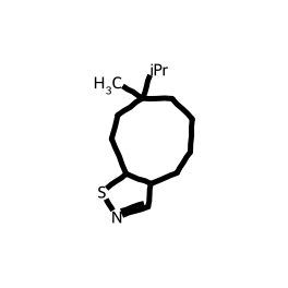 CC(C)C1(C)CCCCC2C=NSC2CC1